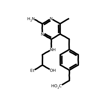 CCC(O)CNc1nc(N)nc(C)c1Cc1ccc(CC(=O)O)cc1